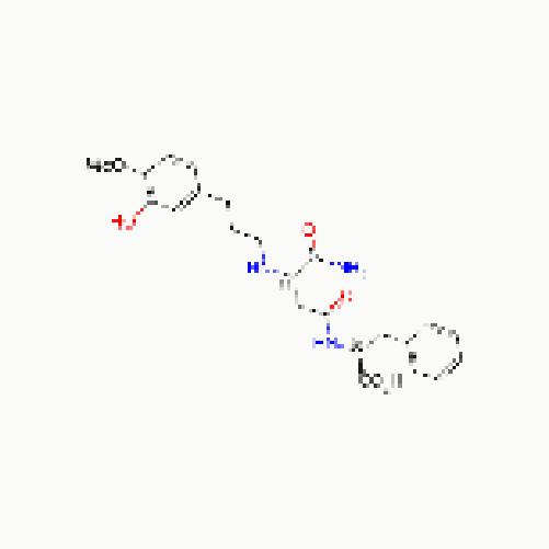 COc1ccc(CCCN[C@@H](CC(=O)N[C@@H](Cc2ccccc2)C(=O)O)C(N)=O)cc1O